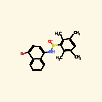 Cc1cc(C)c(C)c([S+]([O-])Nc2ccc(Br)c3ccccc23)c1C